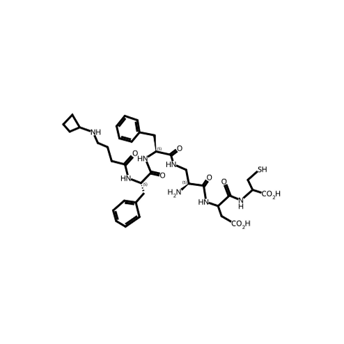 N[C@@H](CNC(=O)[C@H](Cc1ccccc1)NC(=O)[C@H](Cc1ccccc1)NC(=O)CCCNC1CCC1)C(=O)NC(CC(=O)O)C(=O)NC(CS)C(=O)O